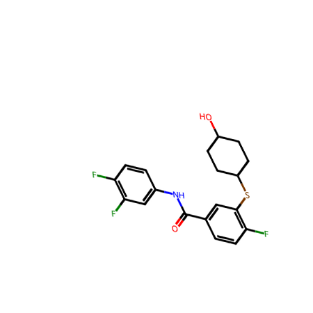 O=C(Nc1ccc(F)c(F)c1)c1ccc(F)c(SC2CCC(O)CC2)c1